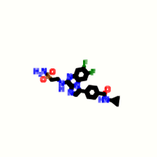 NS(=O)(=O)CCNc1nc2cc(F)c(F)cc2n2c(-c3ccc(C(=O)NC4CC4)cc3)cnc12